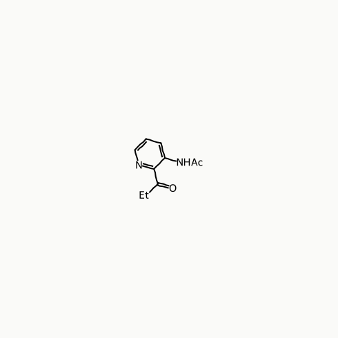 CCC(=O)c1ncccc1NC(C)=O